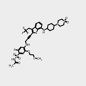 COCCOc1cc(S(=O)(=O)NC(C)=O)c(F)cc1NCC#Cc1sc2c(NC3CCC(N4CCS(=O)(=O)CC4)CC3)cccc2c1CC(F)(F)F